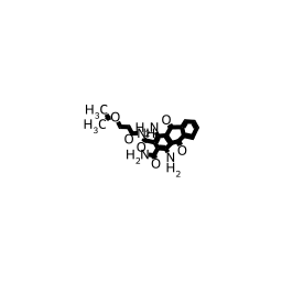 CC(C)OCCC(=O)NC(=O)c1c(N)c2c(c(N)c1C(N)=O)C(=O)c1ccccc1C2=O